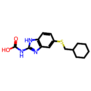 O=C(O)Nc1nc2cc(SCC3CCCCC3)ccc2[nH]1